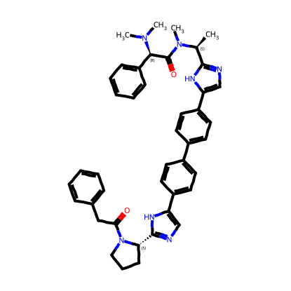 C[C@@H](c1ncc(-c2ccc(-c3ccc(-c4cnc([C@@H]5CCCN5C(=O)Cc5ccccc5)[nH]4)cc3)cc2)[nH]1)N(C)C(=O)[C@@H](c1ccccc1)N(C)C